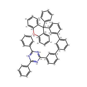 c1ccc(-c2nc(-c3ccccc3)nc(-c3cccc(-c4cccc(-c5cccc(C6(c7ccccc7)c7ccccc7Oc7ccccc76)c5)c4)c3)n2)cc1